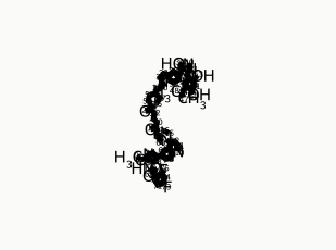 COc1ncc(-c2ccc3nccc(N4CCN(C(=O)CCCC(=O)N5CCC(CCn6ccc7cc(-n8c(O)nnc8-c8cc(C(C)C)c(O)cc8O)ccc76)CC5)CC4)c3c2)cc1NS(=O)(=O)c1ccc(F)cc1F